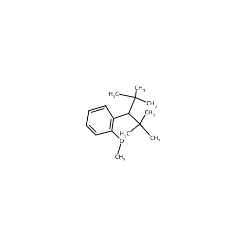 COc1ccc[c]c1C(C(C)(C)C)C(C)(C)C